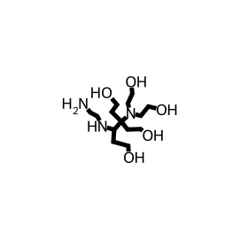 NCCNC(CCO)C(CCO)(CCO)N(CCO)CCO